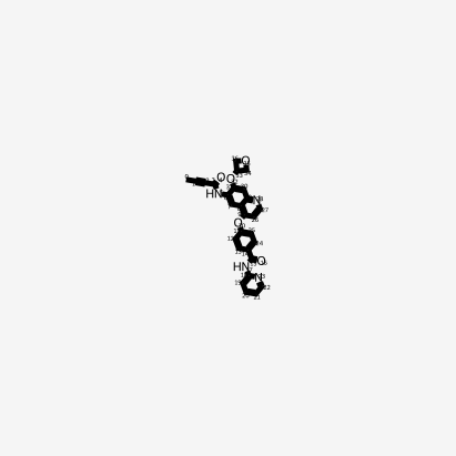 CC#CC(=O)Nc1cc2c(Oc3ccc(C(=O)Nc4ccccn4)cc3)ccnc2cc1OC1COC1